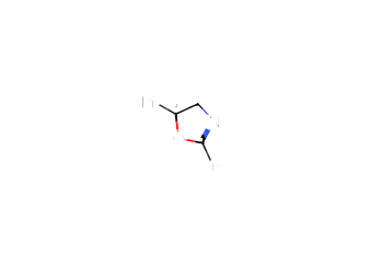 CC(C)C1=NCC(C(C)C)O1